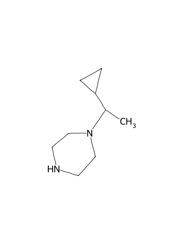 CC(C1CC1)N1CCNCC1